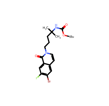 CC(C)(CCCn1ccc2cc(Br)c(F)cc2c1=O)NC(=O)OC(C)(C)C